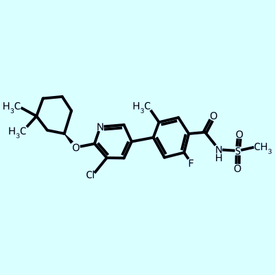 Cc1cc(C(=O)NS(C)(=O)=O)c(F)cc1-c1cnc(O[C@@H]2CCCC(C)(C)C2)c(Cl)c1